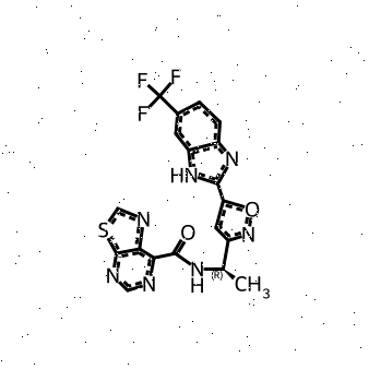 C[C@@H](NC(=O)c1ncnc2scnc12)c1cc(-c2nc3ccc(C(F)(F)F)cc3[nH]2)on1